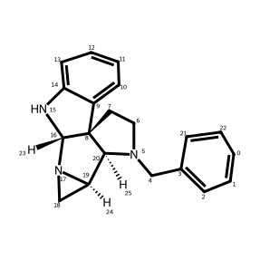 c1ccc(CN2CC[C@]34c5ccccc5N[C@H]3N3C[C@@H]3[C@H]24)cc1